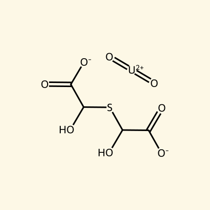 O=C([O-])C(O)SC(O)C(=O)[O-].[O]=[U+2]=[O]